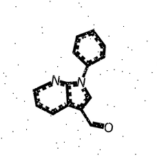 O=Cc1cn(-c2ccccc2)c2ncccc12